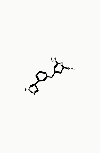 Nc1cc(Cc2cccc(-c3cn[nH]c3)c2)cc(N)n1